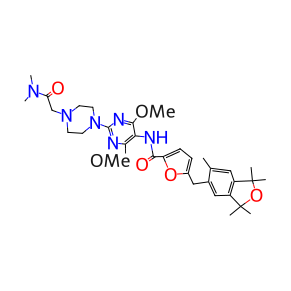 COc1nc(N2CCN(CC(=O)N(C)C)CC2)nc(OC)c1NC(=O)c1ccc(Cc2cc3c(cc2C)C(C)(C)OC3(C)C)o1